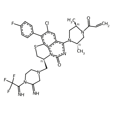 C=CC(=O)N1C[C@H](C)N(c2nc(=O)n3c4c(c(-c5ccc(F)cc5)c(Cl)cc24)SC[C@@H]3CN2CCN(C(=N)C(F)(F)F)C(=N)C2)C[C@H]1C